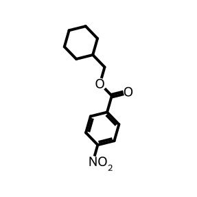 O=C(OCC1CCCCC1)c1ccc([N+](=O)[O-])cc1